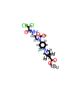 CC(C)(C)OC(=O)C1[C@H]2CN(c3ccc(N4C[C@H](CNC(=O)C(Cl)Cl)OC4=O)cc3F)C[C@@H]12